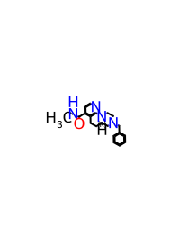 CNC(=O)c1ccnc2c1CC[C@@H]1CN(Cc3ccccc3)CCN21